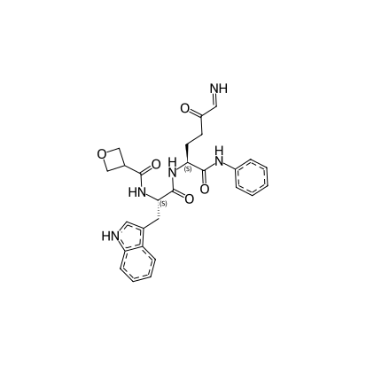 N=CC(=O)CC[C@H](NC(=O)[C@H](Cc1c[nH]c2ccccc12)NC(=O)C1COC1)C(=O)Nc1ccccc1